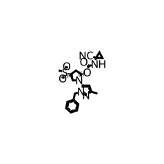 Cc1cc(N2C[C@H](S(C)(=O)=O)C[C@@H]2OC(=O)NC2(C#N)CC2)n(Cc2ccccc2)n1